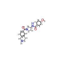 COc1ccc(C(=O)NC2CCN(C(=O)c3ccc4c(c3)CCN(C)C4)C2)cc1